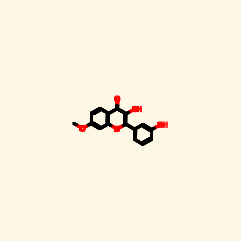 COc1ccc2c(=O)c(O)c(-c3cccc(O)c3)oc2c1